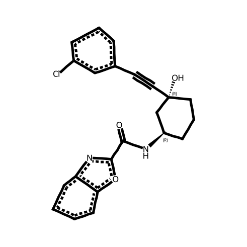 O=C(N[C@@H]1CCC[C@](O)(C#Cc2cccc(Cl)c2)C1)c1nc2ccccc2o1